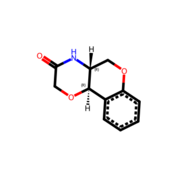 O=C1CO[C@@H]2c3ccccc3OC[C@H]2N1